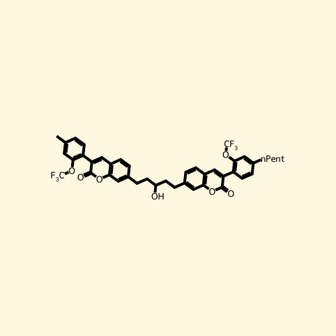 CCCCCc1ccc(-c2cc3ccc(CCC(O)CCc4ccc5cc(-c6ccc(C)cc6OC(F)(F)F)c(=O)oc5c4)cc3oc2=O)c(OC(F)(F)F)c1